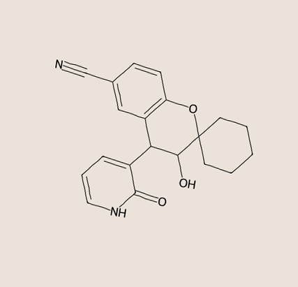 N#Cc1ccc2c(c1)C(c1ccc[nH]c1=O)C(O)C1(CCCCC1)O2